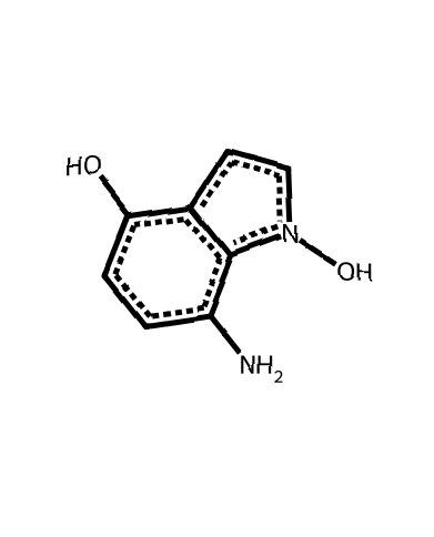 Nc1ccc(O)c2ccn(O)c12